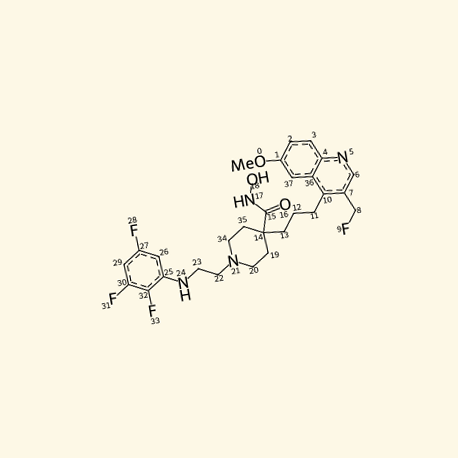 COc1ccc2ncc(CF)c(CCCC3(C(=O)NO)CCN(CCNc4cc(F)cc(F)c4F)CC3)c2c1